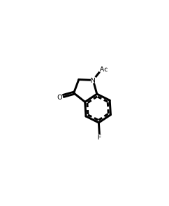 CC(=O)N1CC(=O)c2cc(F)ccc21